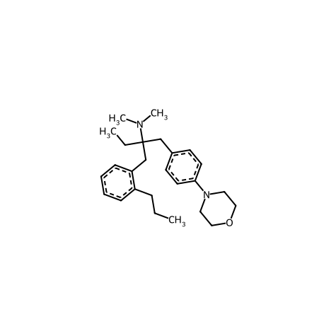 CCCc1ccccc1CC(CC)(Cc1ccc(N2CCOCC2)cc1)N(C)C